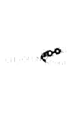 CCCCCC#CC(CS(=O)(=O)N1CCC(c2ccc(Cl)cc2)CC1)N(C)O